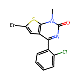 CCc1cc2c(-c3ccccc3Cl)nc(=O)n(C)c2s1